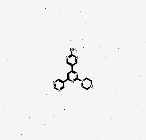 Nc1ncc(-c2cc(-c3cncnc3)nc(N3CCOCC3)n2)cn1